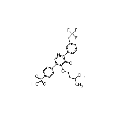 CC(C)CCOc1c(-c2ccc(S(C)(=O)=O)cc2)cnn(-c2cccc(CC(F)(F)F)c2)c1=O